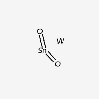 [O]=[Sn]=[O].[W]